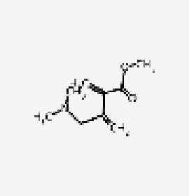 C=C(CN(C)C)C(=C)C(=O)OC